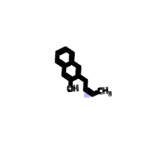 C/C=C\Cc1cc2ccccc2cc1O